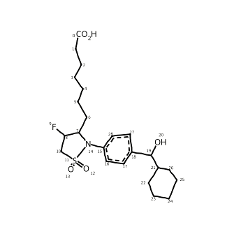 O=C(O)CCCCCCC1C(F)CS(=O)(=O)N1c1ccc(C(O)C2CCCCC2)cc1